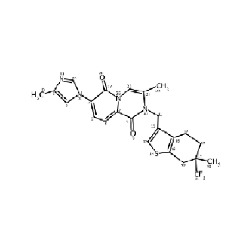 Cc1cn(-c2ccc3c(=O)n(Cc4csc5c4CCC(C)(C(F)(F)F)C5)c(C)cn3c2=O)cn1